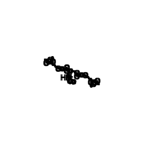 C=CC(=O)OCC(CCCCOc1ccc(C(=O)OCCc2ccc(OC(=O)c3ccc(OCCCCC(COC(=O)C=C)OC(=O)C=C)cc3)c(/C=N/NC3=C=CCc4ccccc4S3)c2)cc1)OC(=O)C=C